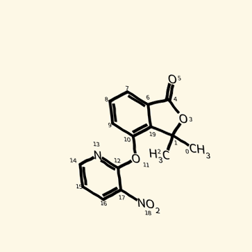 CC1(C)OC(=O)c2cccc(Oc3ncccc3[N+](=O)[O-])c21